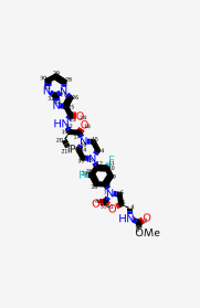 COC(=O)NC[C@H]1CN(c2cc(F)c(N3CCN(C(=O)[C@H](CC(C)C)NC(=O)c4cn5cccnc5n4)CC3)c(F)c2)C(=O)O1